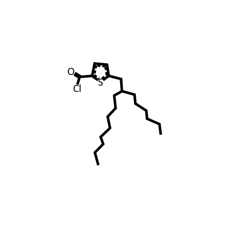 CCCCCCCCC(CCCCCC)Cc1ccc(C(=O)Cl)s1